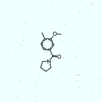 COc1cc(C(=O)N2CCCC2)ccc1C